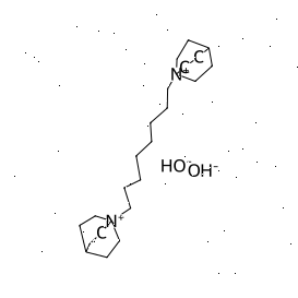 C(CCCC[N+]12CCC(CC1)CC2)CCC[N+]12CCC(CC1)CC2.[OH-].[OH-]